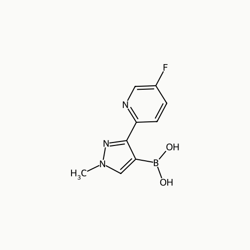 Cn1cc(B(O)O)c(-c2ccc(F)cn2)n1